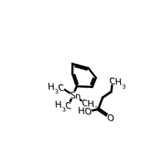 CCCC(=O)O.[CH3][Sn]([CH3])([CH3])[c]1ccccc1